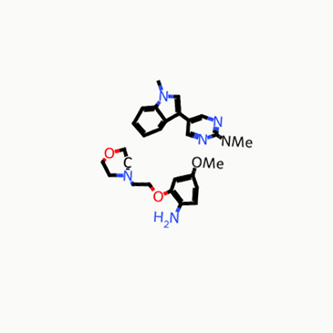 CNc1ncc(-c2cn(C)c3ccccc23)cn1.COc1ccc(N)c(OCCN2CCOCC2)c1